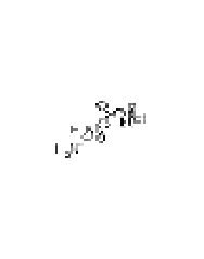 CCN(CC)C(=O)c1ccc(C(c2ccccc2)C2CCN(C(=O)C(N)CCCCN)CC2)cc1